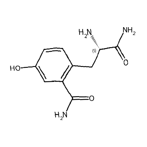 NC(=O)c1cc(O)ccc1C[C@H](N)C(N)=O